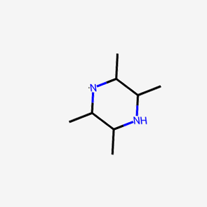 CC1[N]C(C)C(C)NC1C